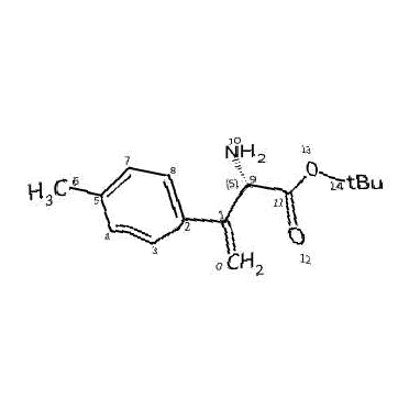 C=C(c1ccc(C)cc1)[C@H](N)C(=O)OC(C)(C)C